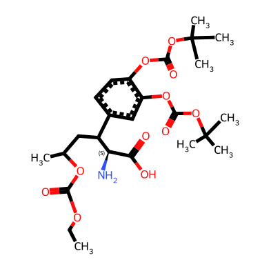 CCOC(=O)OC(C)CC(c1ccc(OC(=O)OC(C)(C)C)c(OC(=O)OC(C)(C)C)c1)[C@H](N)C(=O)O